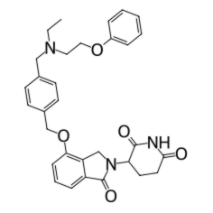 CCN(CCOc1ccccc1)Cc1ccc(COc2cccc3c2CN(C2CCC(=O)NC2=O)C3=O)cc1